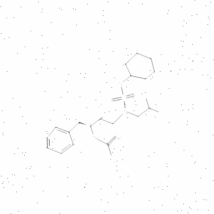 CC(C)CN(C[C@@H](O)[C@H](Cc1ccccc1)NC(=O)O)S(=O)(=O)NC1CCCCC1